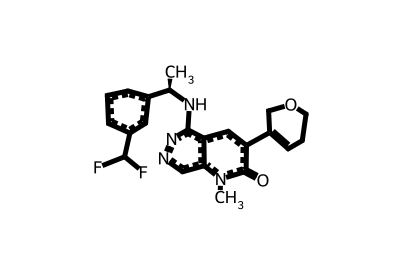 C[C@@H](Nc1nncc2c1cc(C1=CCCOC1)c(=O)n2C)c1cccc(C(F)F)c1